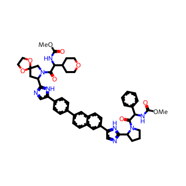 COC(=O)NC(C(=O)N1CCCC1c1ncc(-c2ccc3cc(-c4ccc(-c5cnc(C6CC7(CN6C(=O)C(NC(=O)OC)C6CCOCC6)OCCO7)[nH]5)cc4)ccc3c2)[nH]1)c1ccccc1